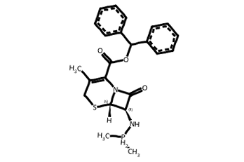 CC1=C(C(=O)OC(c2ccccc2)c2ccccc2)N2C(=O)[C@@H](N[PH2](C)C)[C@@H]2SC1